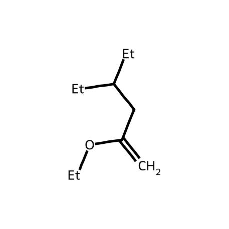 C=C(CC(CC)CC)OCC